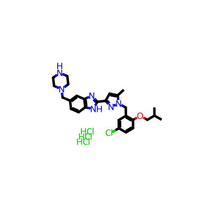 Cc1cc(-c2nc3cc(CN4CCNCC4)ccc3[nH]2)nn1Cc1cc(Cl)ccc1OCC(C)C.Cl.Cl.Cl